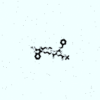 CCOCc1nc2c(N)nc3ccccc3c2n1CCCNC(=O)[C@H](CCC(=O)OC(C)(C)C)NC(=O)OCc1ccccc1